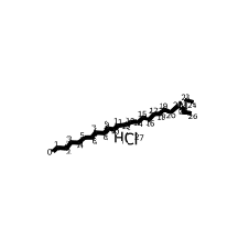 CCCCCCCCCCCCCCCCCCCCCCN(CC)CC.Cl